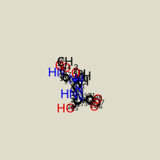 [2H]C([2H])([2H])n1c(=O)n([C@@H]2CC[C@@H](NC(=O)OC)C2)c2cc(Nc3cc(CO)cc(-c4ccc5c(c4)OCCO5)n3)ncc21